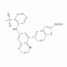 CC(=O)Nc1cc2cc(-c3cc(Nc4cnccc4S(C)(=O)=O)cc4nccnc34)ccc2s1